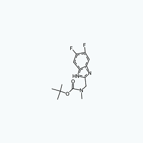 CN(Cc1nc2cc(F)c(F)cc2[nH]1)C(=O)OC(C)(C)C